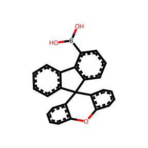 OB(O)c1cccc2c1-c1ccccc1C21c2ccccc2Oc2ccccc21